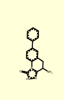 NC1Cc2cc(-c3ccccc3)ccc2-n2c1n[nH]c2=O